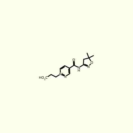 CC1(C)CC(NC(=O)c2cc[n+](CCC(=O)O)nc2)=NO1